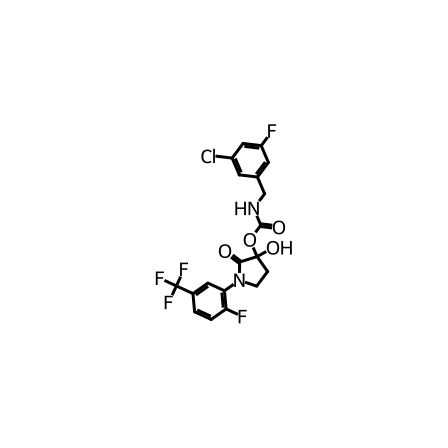 O=C(NCc1cc(F)cc(Cl)c1)OC1(O)CCN(c2cc(C(F)(F)F)ccc2F)C1=O